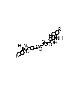 C[C@]12C=CC(=O)C=C1CC[C@@H]1C2C(=N)C[C@@]2(C)[C@H]1CC[C@]2(O)C(=O)COC(=O)CCC(=O)OCc1ccc([C@@H](CN)C(=O)Nc2ccc3cnccc3c2)cc1